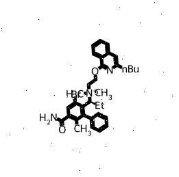 CCCCc1cc2ccccc2c(OCC[N+](C)(C)[C@@H](CC)c2c(Br)cc(C(N)=O)c(C)c2-c2ccccc2)n1